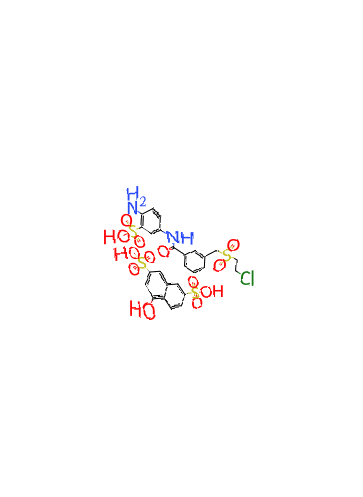 Nc1ccc(NC(=O)c2cccc(CS(=O)(=O)CCCl)c2)cc1S(=O)(=O)O.O=S(=O)(O)c1ccc2c(O)cc(S(=O)(=O)O)cc2c1